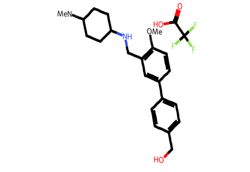 CNC1CCC(NCc2cc(-c3ccc(CO)cc3)ccc2OC)CC1.O=C(O)C(F)(F)F